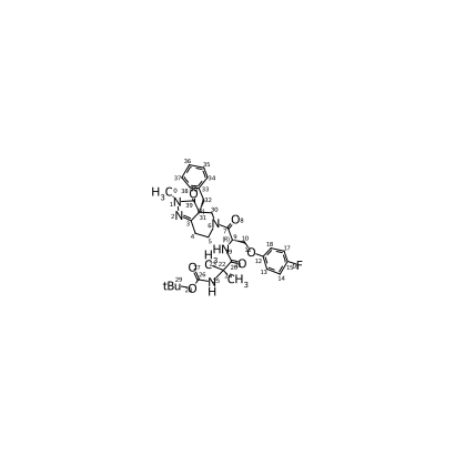 CN1N=C2CCN(C(=O)[C@@H](COc3ccc(F)cc3)NC(=O)C(C)(C)NC(=O)OC(C)(C)C)C[C@@]2(Cc2ccccc2)C1=O